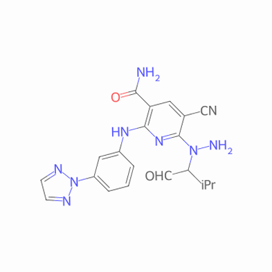 CC(C)C(C=O)N(N)c1nc(Nc2cccc(-n3nccn3)c2)c(C(N)=O)cc1C#N